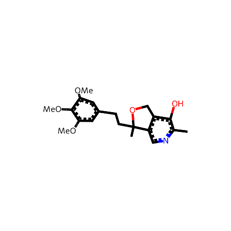 COc1cc(CCC2(C)OCc3c2cnc(C)c3O)cc(OC)c1OC